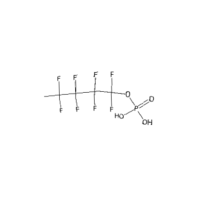 CC(F)(F)C(F)(F)C(F)(F)C(F)(F)OP(=O)(O)O